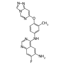 Cc1cc(Nc2ncnc3cc(F)c(N)cc23)ccc1Oc1cc2nncn2cn1